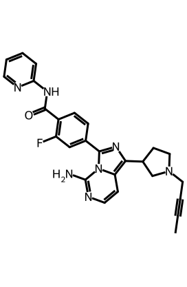 CC#CCN1CCC(c2nc(-c3ccc(C(=O)Nc4ccccn4)c(F)c3)n3c(N)nccc23)C1